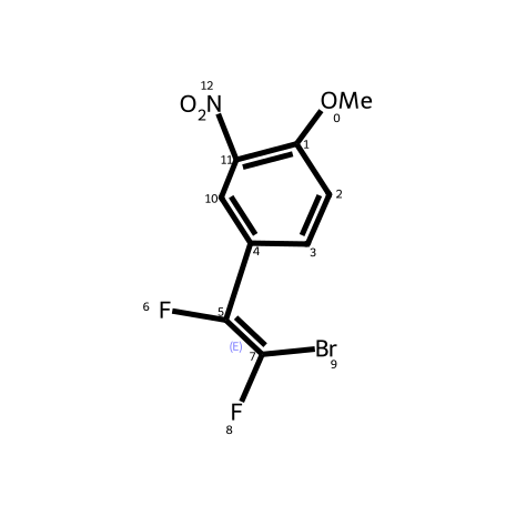 COc1ccc(/C(F)=C(/F)Br)cc1[N+](=O)[O-]